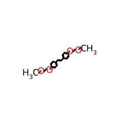 CCOCCOc1ccc(/C=C/c2ccc(OCCOCC)cc2)cc1